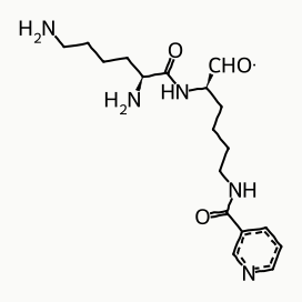 NCCCC[C@H](N)C(=O)N[C@@H]([C]=O)CCCCNC(=O)c1cccnc1